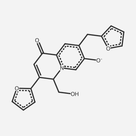 O=C1C=C(c2ccco2)C(CO)[n+]2cc([O-])c(Cc3ccco3)cc21